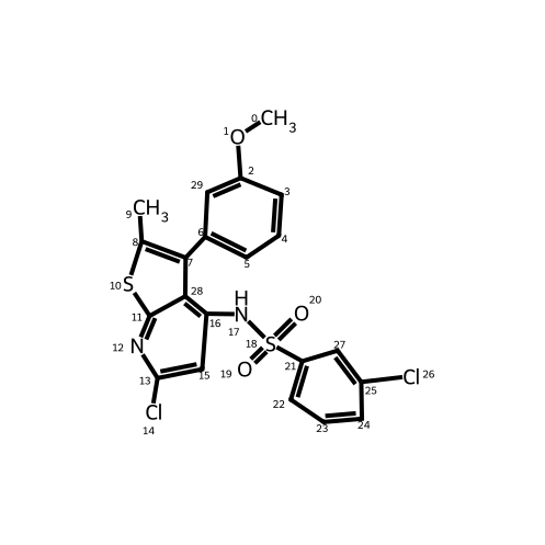 COc1cccc(-c2c(C)sc3nc(Cl)cc(NS(=O)(=O)c4cccc(Cl)c4)c23)c1